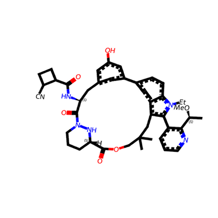 CCn1c(-c2cccnc2[C@H](C)OC)c2c3cc(ccc31)-c1cc(O)cc(c1)C[C@H](NC(=O)C1CCC1C#N)C(=O)N1CCC[C@H](N1)C(=O)OCC(C)(C)C2